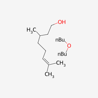 CC(C)=CCCC(C)CCO.CCCCOCCCC